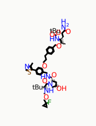 Cc1ncsc1-c1ccc(CNC(=O)[C@@H]2C[C@@H](O)CN2C(=O)[C@@H](NCOCC2(F)CC2)C(C)(C)C)c(OCCCc2ccc(CO[C@H](C)[C@H](CCC(N)=O)NC(=O)OC(C)(C)C)cc2)c1